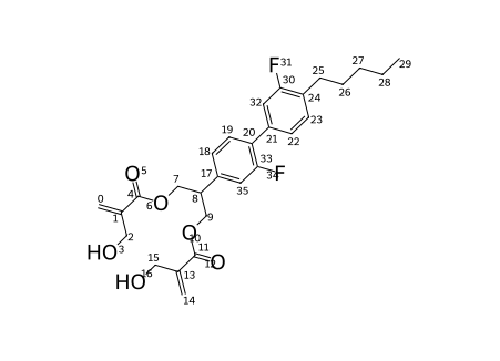 C=C(CO)C(=O)OCC(COC(=O)C(=C)CO)c1ccc(-c2ccc(CCCCC)c(F)c2)c(F)c1